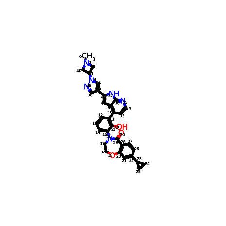 CN1CC(n2cc(-c3cc4c(-c5cccc(N6CCOc7cc(C8CC8)ccc7C6=O)c5O)ccnc4[nH]3)cn2)C1